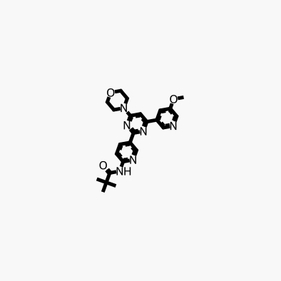 COc1cncc(-c2cc(N3CCOCC3)nc(-c3ccc(NC(=O)C(C)(C)C)nc3)n2)c1